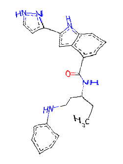 CCC(CCNc1ccccc1)NC(=O)c1cccc2[nH]c(-c3cc[nH]n3)cc12